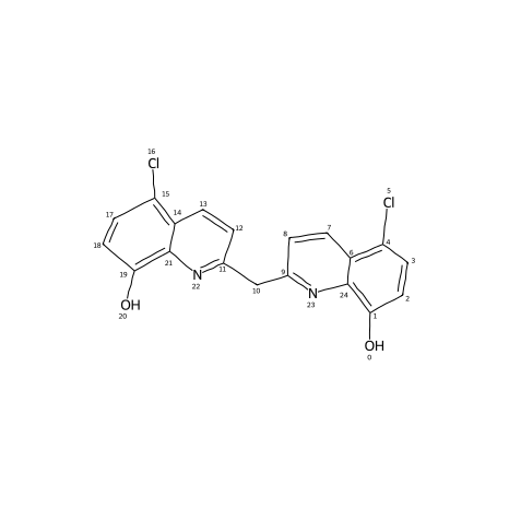 Oc1ccc(Cl)c2ccc(Cc3ccc4c(Cl)ccc(O)c4n3)nc12